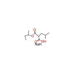 CCC(C)OC(=O)C(CC(C)C)C(=O)O.[NaH]